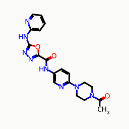 CC(=O)N1CCN(c2ccc(NC(=O)c3nnc(Nc4ccccn4)o3)cn2)CC1